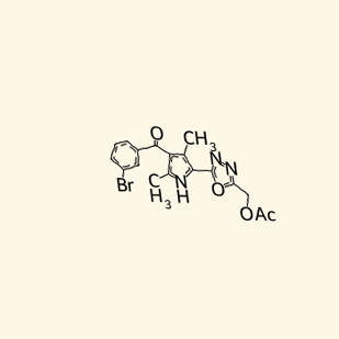 CC(=O)OCc1nnc(-c2[nH]c(C)c(C(=O)c3cccc(Br)c3)c2C)o1